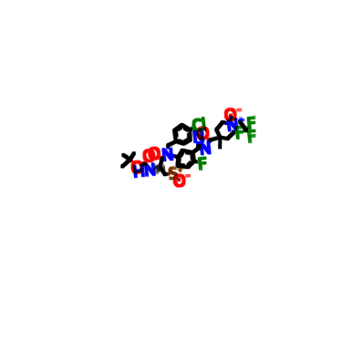 CC(C)(C)OC(=O)N[C@H]1C[S+]([O-])c2cc(F)c(-c3noc(C4(C)CC[N+]([O-])(CC(F)(F)F)CC4)n3)cc2N(Cc2ccc(Cl)cc2)C1=O